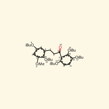 COc1cc(OCC(C)C)cc(CCC(=O)c2c(OCC(C)C)ccc(OCC(C)C)c2OCC(C)C)c1OCC(C)C